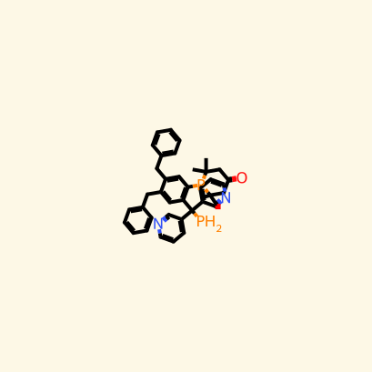 CC1(C)CC(=O)CC(C)(C)P1c1cc(Cc2ccccc2)c(Cc2ccccc2)cc1C(P)(c1cccnc1)c1cccnc1